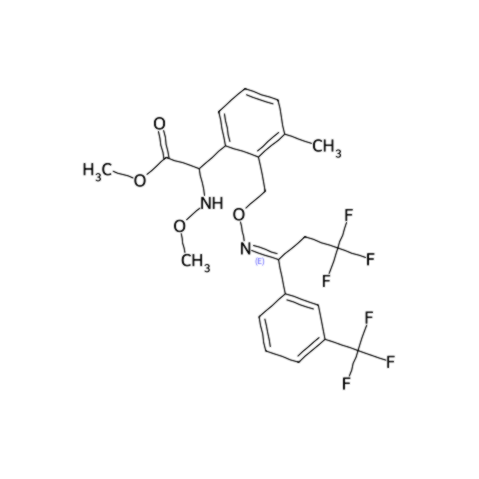 CONC(C(=O)OC)c1cccc(C)c1CO/N=C(\CC(F)(F)F)c1cccc(C(F)(F)F)c1